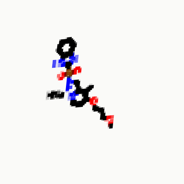 COCCCOc1ccnc(CNS(=O)(=O)c2nc3ccccc3[nH]2)c1C.[NaH]